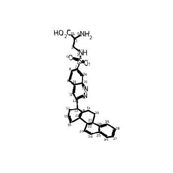 NC(CNS(=O)(=O)c1ccc2cc(C3CC=CC4=C3CCc3c4ccc4ccccc34)nnc2c1)C(=O)O